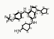 NC1CCC(Nc2nc(Nc3ccc(OC(F)(F)F)cc3)c3ncn(C4CCCC4)c3n2)CC1